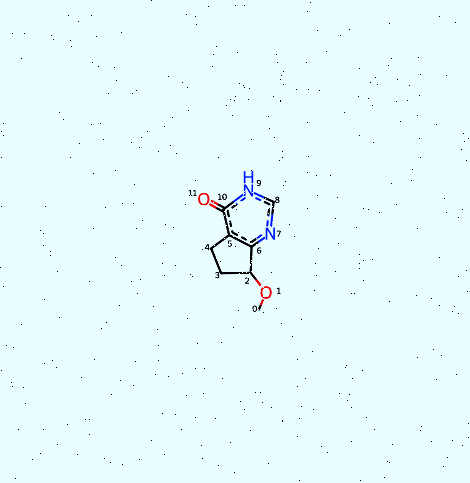 COC1CCc2c1nc[nH]c2=O